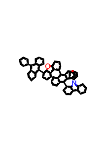 c1ccc(-c2c3ccccc3c(-c3cccc4c3oc3cccc(-c5c6ccccc6c(-c6cccc7c8ccccc8n(-c8ccccc8)c67)c6ccccc56)c34)c3ccccc23)cc1